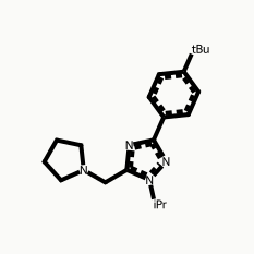 CC(C)n1nc(-c2ccc(C(C)(C)C)cc2)nc1CN1CCCC1